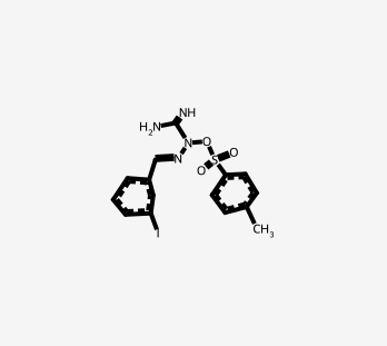 Cc1ccc(S(=O)(=O)ON(N=Cc2cccc(I)c2)C(=N)N)cc1